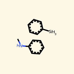 CNc1ccccc1.[SiH3]c1ccccc1